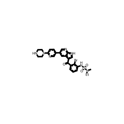 CCN(C)S(=O)(=O)Nc1cccc(C(=O)c2c[nH]c3ncc(-c4ccc(N5CCNCC5)nc4)cc23)c1Br